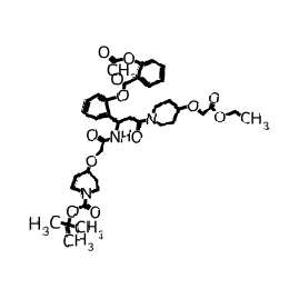 CCOC(=O)COC1CCN(C(=O)CC(NC(=O)COC2CCN(C(=O)OC(C)(C)C)CC2)c2ccccc2OC(=O)c2ccccc2OC(C)=O)CC1